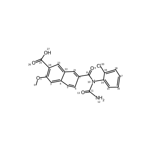 COc1cc2ccc(C(=O)N(C(N)=O)c3ccccc3Cl)cc2cc1C(=O)O